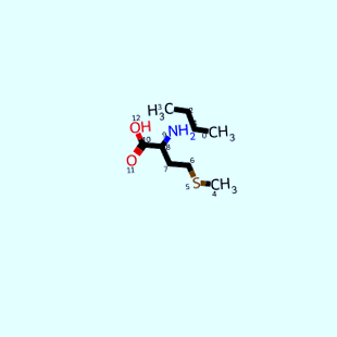 CCCC.CSCCC(N)C(=O)O